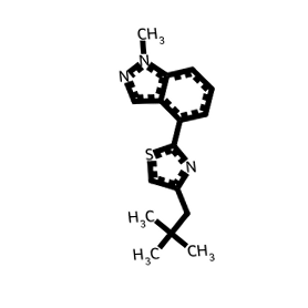 Cn1ncc2c(-c3nc(CC(C)(C)C)cs3)cccc21